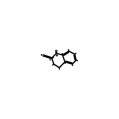 O=[N+]1CCc2ccccc2N1